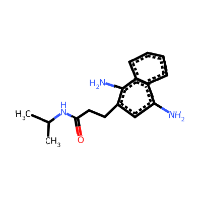 CC(C)NC(=O)CCc1cc(N)c2ccccc2c1N